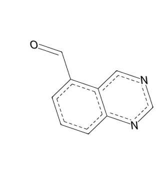 O=Cc1cccc2ncncc12